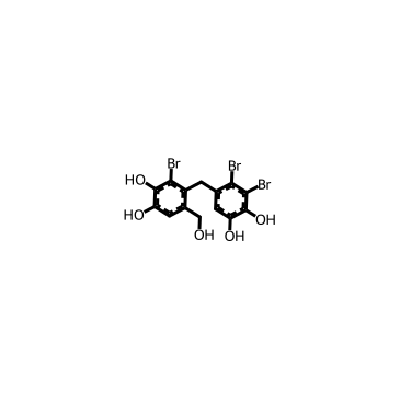 OCc1cc(O)c(O)c(Br)c1Cc1cc(O)c(O)c(Br)c1Br